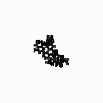 CSc1cc(-c2ccc(-c3cc(C(F)(F)C(=O)NC4CC4)nn3C)c(-c3oc(C)nc3-c3ccc4c(c3)OC(F)(F)O4)c2)cc(F)c1CO